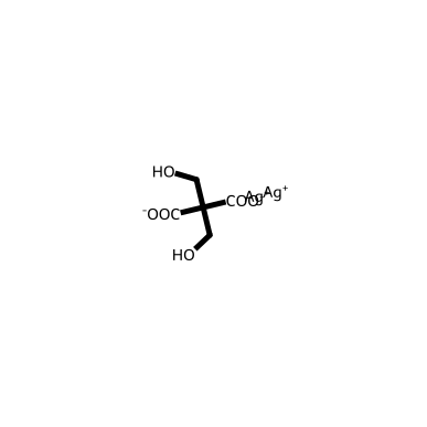 O=C([O-])C(CO)(CO)C(=O)[O-].[Ag+].[Ag+]